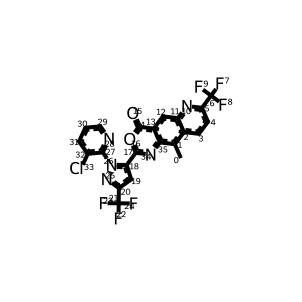 Cc1c2ccc(C(F)(F)F)nc2cc2c(=O)oc(-c3cc(C(F)(F)F)nn3-c3ncccc3Cl)nc12